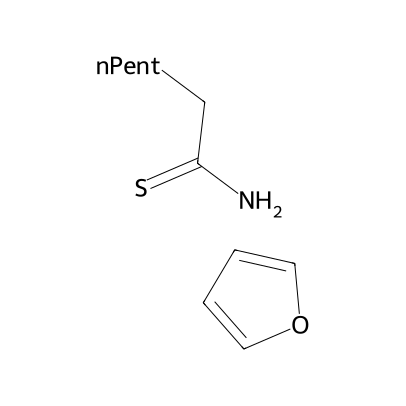 CCCCCCC(N)=S.c1ccoc1